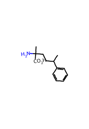 CC(CCC(C)(N)C(=O)O)c1ccccc1